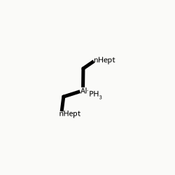 CCCCCCC[CH2][Al][CH2]CCCCCCC.P